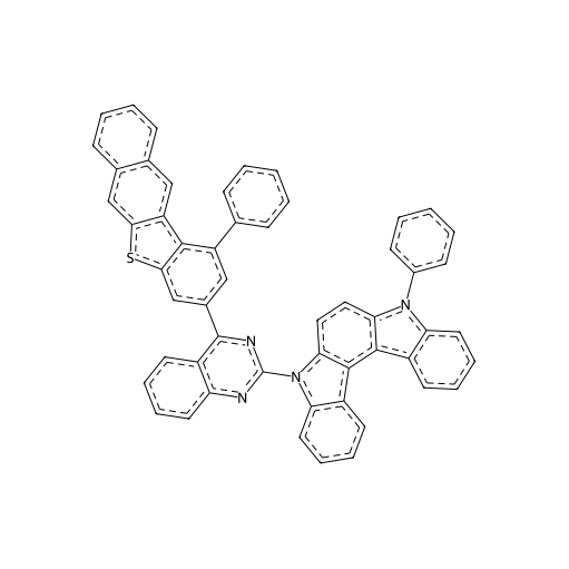 c1ccc(-c2cc(-c3nc(-n4c5ccccc5c5c6c7ccccc7n(-c7ccccc7)c6ccc54)nc4ccccc34)cc3sc4cc5ccccc5cc4c23)cc1